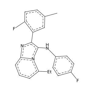 CCc1cccc2nc(-c3cc(C)ccc3F)c(Nc3ccc(F)cc3)n12